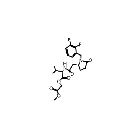 COC(=O)COC(=O)[C@@H](NC(=O)C[C@@H]1CCC(=O)N1Cc1cccc(F)c1F)C(C)C